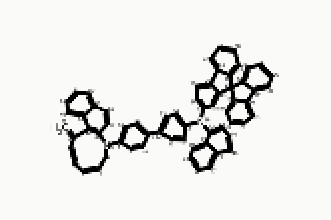 C=C1/C=C\C=C/CN(c2ccc(-c3ccc(N(c4ccc5c(c4)C4(c6ccccc6-c6ccccc64)c4ccccc4-5)c4cccc5ccccc45)cc3)cc2)c2ccc3ccccc3c21